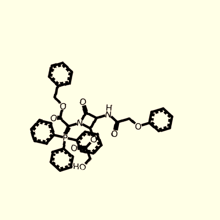 O=C(COc1ccccc1)NC1C(=O)N(C(C(=O)OCc2ccccc2)=P(c2ccccc2)(c2ccccc2)c2ccccc2)C1OC(=O)CO